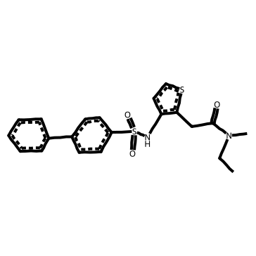 CCN(C)C(=O)Cc1sccc1NS(=O)(=O)c1ccc(-c2ccccc2)cc1